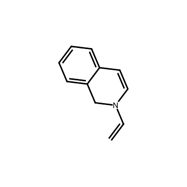 C=CN1C=Cc2ccccc2C1